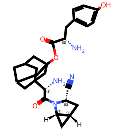 N#C[C@@H]1C[C@@H]2C[C@@H]2N1C(=O)[C@@H](N)C12CC3CC(CC(OC(=O)[C@@H](N)Cc4ccc(O)cc4)(C3)C1)C2